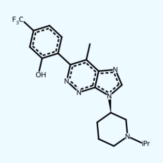 Cc1c(-c2ccc(C(F)(F)F)cc2O)nnc2c1ncn2[C@@H]1CCCN(C(C)C)C1